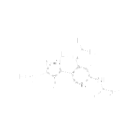 CCn1nc(C(=O)O)c(Cl)c1-c1cnc(NC(C(C)C)C(F)(F)F)cc1OC(F)F